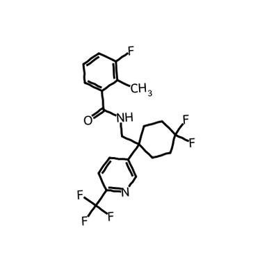 Cc1c(F)cccc1C(=O)NCC1(c2ccc(C(F)(F)F)nc2)CCC(F)(F)CC1